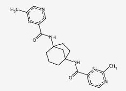 Cc1cncc(C(=O)NC23CCCC(NC(=O)c4ccnc(C)n4)(CC2)C3)n1